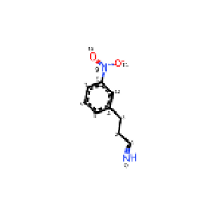 N=CCCc1cccc([N+](=O)[O-])c1